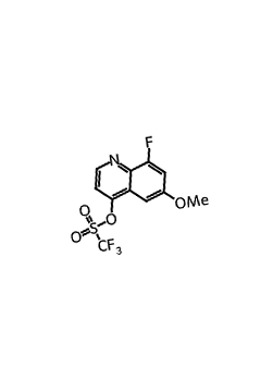 COc1cc(F)c2nccc(OS(=O)(=O)C(F)(F)F)c2c1